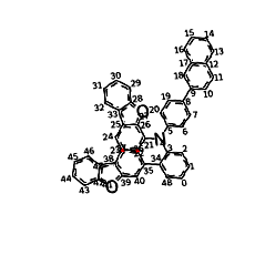 c1ccc(N(c2ccc(-c3ccc4ccccc4c3)cc2)c2cccc3c2oc2ccccc23)c(-c2ccc3c(c2)oc2ccccc23)c1